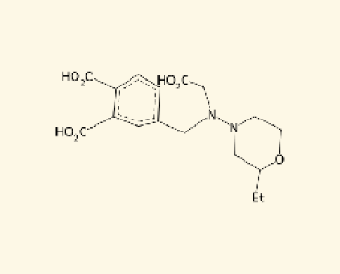 CCC1CN(N(CC(=O)O)Cc2ccc(C(=O)O)c(C(=O)O)c2)CCO1